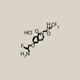 Cl.NC/C(=C/F)COc1ccc2c(c1)CCN(CC(=O)NCC(F)(F)F)C2=O